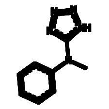 CN(c1ccccc1)c1nnn[nH]1